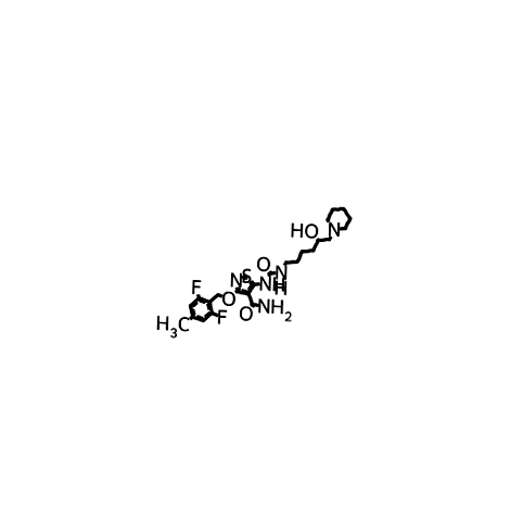 Cc1cc(F)c(COc2nsc(NC(=O)NCCCCC(O)CN3CCCCC3)c2C(N)=O)c(F)c1